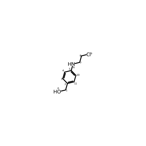 OCc1ccc(NCCCl)cc1